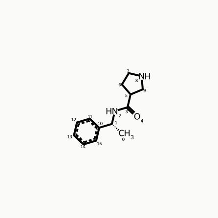 C[C@@H](NC(=O)C1CCNC1)c1ccccc1